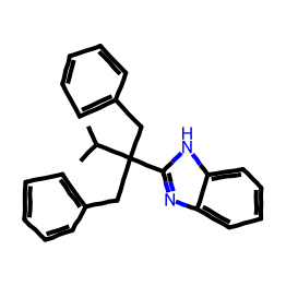 CC(C)C(Cc1ccccc1)(Cc1ccccc1)c1nc2ccccc2[nH]1